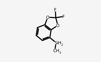 C[SiH2]c1cccc2c1OC(F)(F)O2